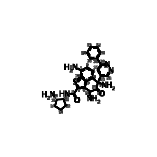 Nc1ccc2c3c(c(C(=O)N[C@@H]4CCC[C@@H]4N)sc13)C(N)C(=O)C2(N)c1cnnc(-c2ccccc2)c1